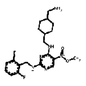 CO[N+](=O)c1cnc(NCc2c(F)cccc2F)nc1NCC1CCC(CN)CC1